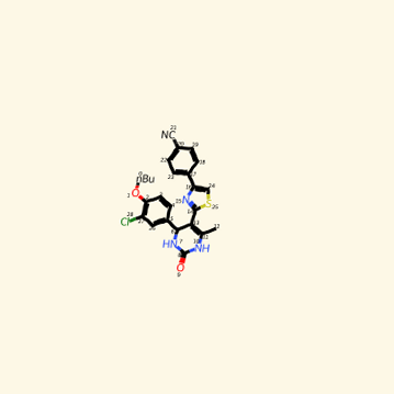 CCCCOc1ccc(C2NC(=O)NC(C)=C2c2nc(-c3ccc(C#N)cc3)cs2)cc1Cl